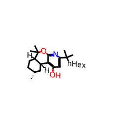 CCCCCCC(C)(C)c1cc(O)c2c(n1)OC(C)(C)[C@H]1CC[C@@H](C)C[C@@H]21